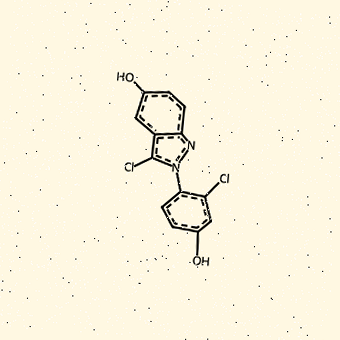 Oc1ccc(-n2nc3ccc(O)cc3c2Cl)c(Cl)c1